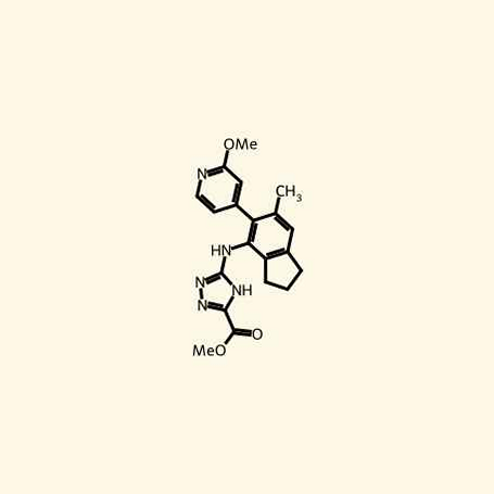 COC(=O)c1nnc(Nc2c3c(cc(C)c2-c2ccnc(OC)c2)CCC3)[nH]1